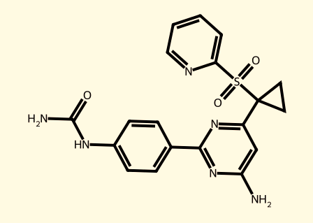 NC(=O)Nc1ccc(-c2nc(N)cc(C3(S(=O)(=O)c4ccccn4)CC3)n2)cc1